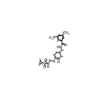 Cc1cc(C)cc(C(=O)NCC2CCN(CCNS(=O)(=O)C3CC3)NC2)c1